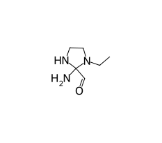 CCN1CCNC1(N)C=O